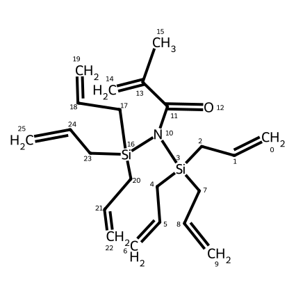 C=CC[Si](CC=C)(CC=C)N(C(=O)C(=C)C)[Si](CC=C)(CC=C)CC=C